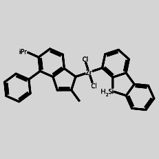 CC1=Cc2c(ccc(C(C)C)c2-c2ccccc2)[CH]1[Zr]([Cl])([Cl])[c]1cccc2c1[SiH2]c1ccccc1-2